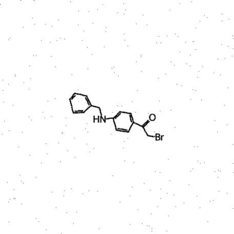 O=C(CBr)c1ccc(NCc2ccccc2)cc1